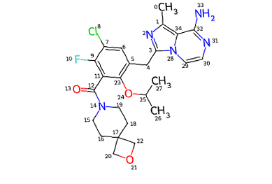 Cc1nc(Cc2cc(Cl)c(F)c(C(=O)N3CCC4(CC3)COC4)c2OC(C)C)n2ccnc(N)c12